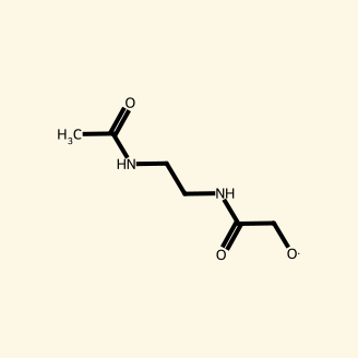 CC(=O)NCCNC(=O)C[O]